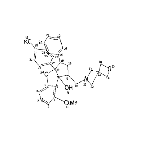 COc1cncc2c1C1(O)C(CN3CC4(COC4)C3)CC(c3ccccc3)C1(c1ccc(C#N)cc1)O2